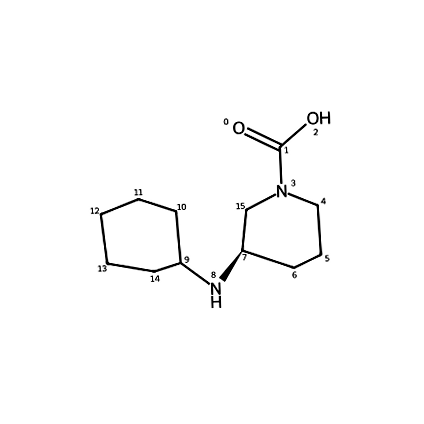 O=C(O)N1CCC[C@@H](NC2CCCCC2)C1